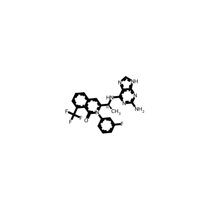 C[C@H](Nc1nc(N)nc2[nH]cnc12)c1cc2cccc(C(F)(F)F)c2c(=O)n1-c1cccc(F)c1